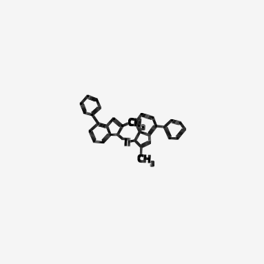 CC1=Cc2c(-c3ccccc3)cccc2[CH]1[Ti][CH]1C(C)=Cc2c(-c3ccccc3)cccc21